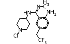 C/N=C(/NC1CCN(Cl)CC1)c1cc(CC(F)(F)F)ccc1N